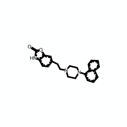 O=c1[nH]c2ccc(CCN3CCN(c4cccc5ccccc45)CC3)cc2o1